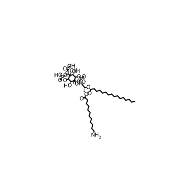 CCCCCCCCCCCCCCCC(=O)O[C@H](COC(=O)CCCCCCCCCCCN)COP(=O)(O)OC1C(O)[C@H](O)C(OP(=O)(O)O)[C@H](OP(=O)(O)O)[C@@H]1O